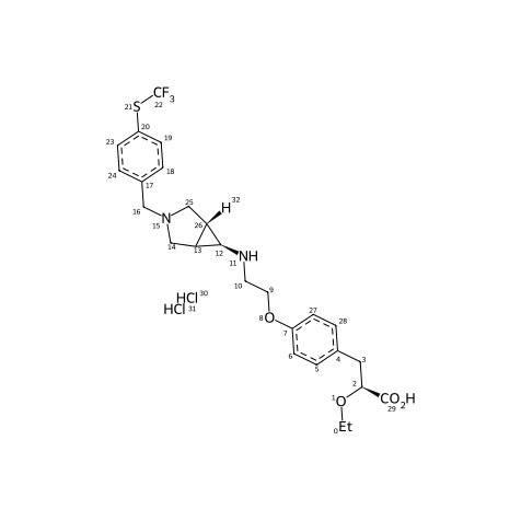 CCO[C@@H](Cc1ccc(OCCN[C@H]2C3CN(Cc4ccc(SC(F)(F)F)cc4)C[C@@H]32)cc1)C(=O)O.Cl.Cl